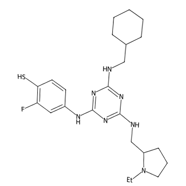 CCN1CCCC1CNc1nc(NCC2CCCCC2)nc(Nc2ccc(S)c(F)c2)n1